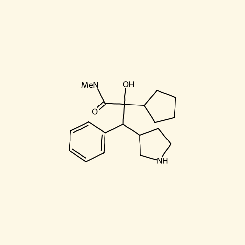 CNC(=O)C(O)(C1CCCC1)C(c1ccccc1)C1CCNC1